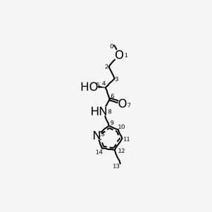 COCC[C@H](O)C(=O)Nc1ccc(C)cn1